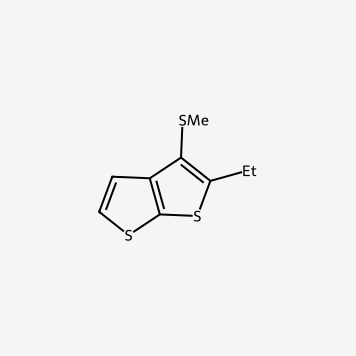 CCc1sc2sccc2c1SC